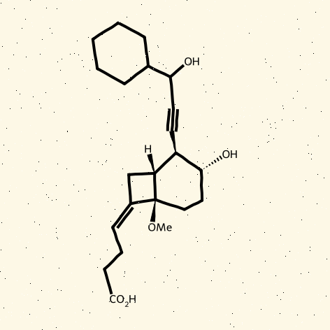 CO[C@]12CC[C@@H](O)[C@H](C#CC(O)C3CCCCC3)[C@H]1C/C2=C/CCC(=O)O